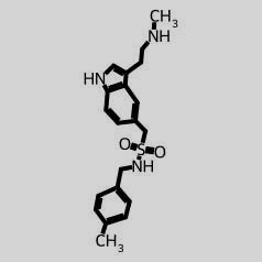 CNCCc1c[nH]c2ccc(CS(=O)(=O)NCc3ccc(C)cc3)cc12